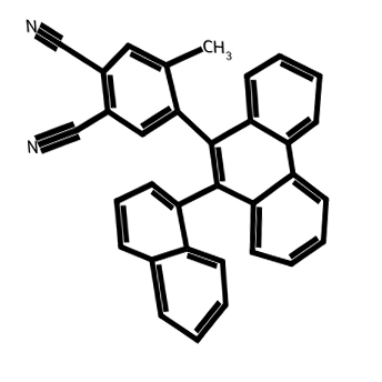 Cc1cc(C#N)c(C#N)cc1-c1c(-c2cccc3ccccc23)c2ccccc2c2ccccc12